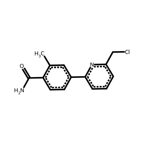 Cc1cc(-c2cccc(CCl)n2)ccc1C(N)=O